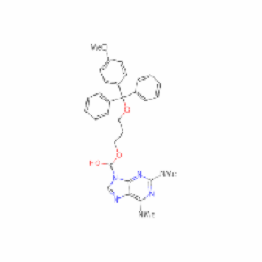 CNc1nc(NC)c2ncn(C(O)OCCCOC(c3ccccc3)(c3ccccc3)c3ccc(OC)cc3)c2n1